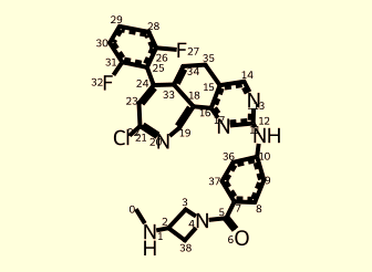 CNC1CN(C(=O)c2ccc(Nc3ncc4c(n3)C3=CN=C(Cl)C=C(c5c(F)cccc5F)C3=CC4)cc2)C1